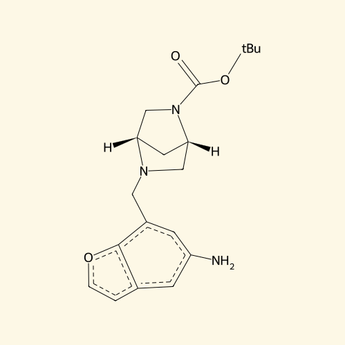 CC(C)(C)OC(=O)N1C[C@@H]2C[C@H]1CN2Cc1cc(N)cc2ccoc12